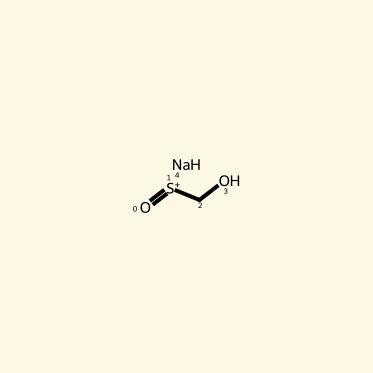 O=[S+]CO.[NaH]